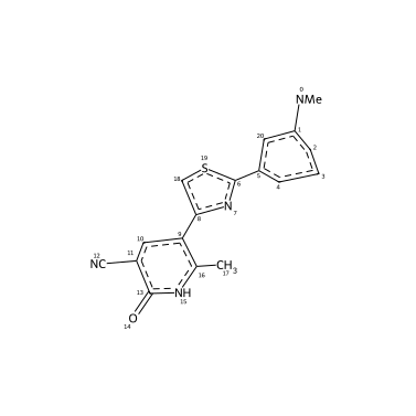 CNc1cccc(-c2nc(-c3cc(C#N)c(=O)[nH]c3C)cs2)c1